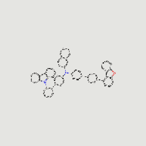 c1ccc(-n2c3ccccc3c3ccccc32)c(-c2ccc(N(c3ccc(-c4ccc(-c5cccc6oc7ccccc7c56)cc4)cc3)c3ccc4ccccc4c3)cc2)c1